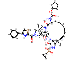 O=C(N[C@H]1CCCCC/C=C\[C@@H]2C[C@@]2(C(=O)NS(=O)(=O)C2CC2)NC(=O)[C@@H]2[C@H]3CN(C(=O)c4nc(-c5ccccc5)cs4)C[C@H]3CN2C1=O)OC1CCCC1